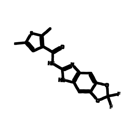 Cc1cc(C(=O)Nc2nc3cc4c(cc3[nH]2)OC(F)(F)O4)c(C)s1